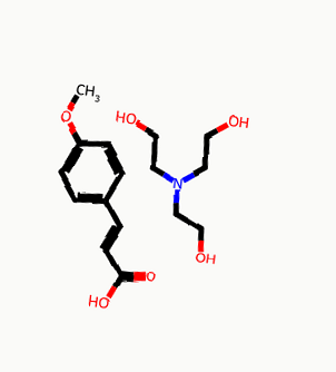 COc1ccc(C=CC(=O)O)cc1.OCCN(CCO)CCO